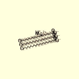 O=CCCCCCCCCCCCCCCCCCCCCC(=O)[O-].O=CCCCCCCCCCCCCCCCCCCCCC(=O)[O-].O=CCCCCCCCCCCCCCCCCCCCCC(=O)[O-].[H+].[Mg+2]